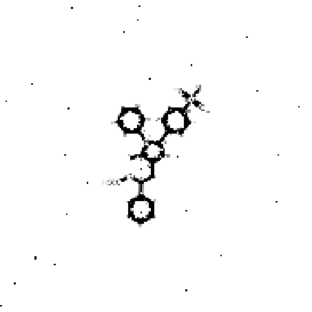 Cc1c(CC(OC(=O)O)c2ccccc2)cc(-c2ccc(S(C)(=O)=O)cc2)n1-c1ccccc1